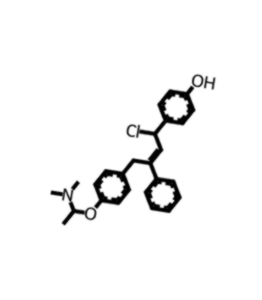 CC(Oc1ccc(C/C(=C\C(Cl)c2ccc(O)cc2)c2ccccc2)cc1)N(C)C